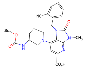 Cn1c(=O)n(Cc2ccccc2C#N)c2c(N3CCCC(NC(=O)OC(C)(C)C)C3)cc(C(=O)O)nc21